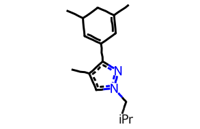 CC1=CC(c2nn(CC(C)C)cc2C)=CC(C)C1